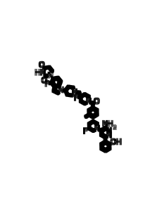 Cc1cc(C(=O)N2CCC(F)(CN3CCC(n4ccc5c(F)c(N6CCC(=O)NC6=O)ccc54)CC3)CC2)ccc1[C@H]1C[C@@H](F)CN(c2cc(-c3ccccc3O)nnc2N)C1